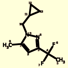 Cc1cc(C(C)(F)F)nn1CC1CC1